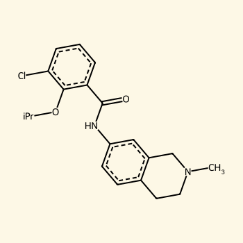 CC(C)Oc1c(Cl)cccc1C(=O)Nc1ccc2c(c1)CN(C)CC2